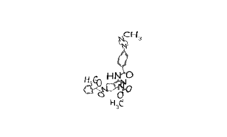 CCOC(=O)n1nc(NC(=O)c2ccc(N3CCN(CC)CC3)cc2)c2c1CN(C(=O)[C@H](OC)c1ccccc1)C2